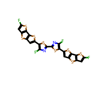 Fc1cc2sc3cc(-c4sc(-c5nc(F)c(-c6cc7sc8cc(F)sc8c7s6)s5)nc4F)sc3c2s1